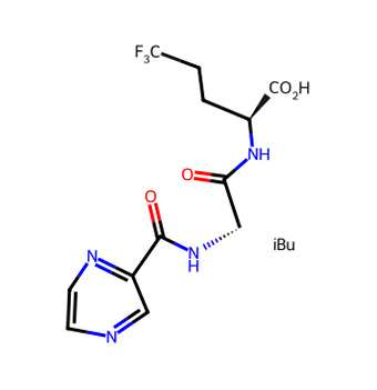 CC[C@H](C)[C@H](NC(=O)c1cnccn1)C(=O)N[C@@H](CCC(F)(F)F)C(=O)O